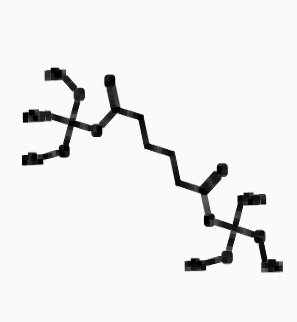 CCCCCCCCCC(OCCCC)(OCCCC)OC(=O)CCCCC(=O)OC(CCCCCCCCC)(OCCCC)OCCCC